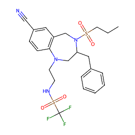 CCCS(=O)(=O)N1Cc2cc(C#N)ccc2N(CCNS(=O)(=O)C(F)(F)F)CC1Cc1ccccc1